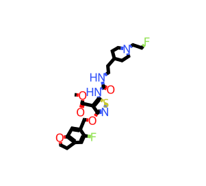 COC(=O)c1c(OCc2cc3c(cc2F)CCO3)nsc1NC(=O)NCCC1CCN(CCF)CC1